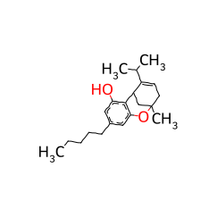 CCCCCc1cc(O)c2c(c1)OC1(C)CC=C(C(C)C)C2C1